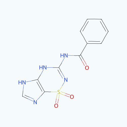 O=C(NC1=NS(=O)(=O)c2nc[nH]c2N1)c1ccccc1